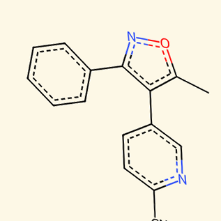 Cc1onc(-c2ccccc2)c1-c1ccc(C#N)nc1